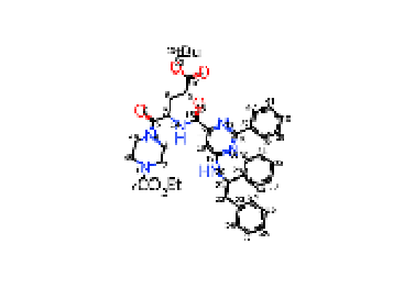 CCOC(=O)N1CCN(C(=O)C(CCC(=O)OC(C)(C)C)NC(=O)c2cc(NC(Cc3ccccc3)c3ccccc3)nc(-c3ccccc3)n2)CC1